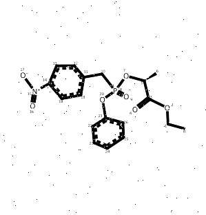 CCOC(=O)[C@H](C)OP(=O)(Cc1ccc([N+](=O)[O-])cc1)Oc1ccccc1